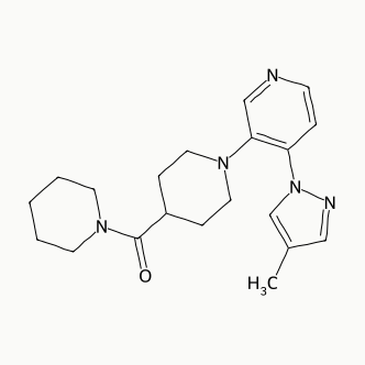 Cc1cnn(-c2ccncc2N2CCC(C(=O)N3CCCCC3)CC2)c1